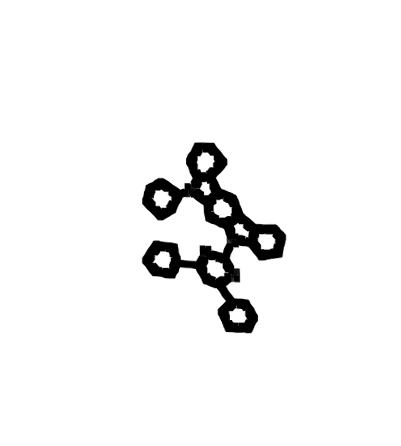 c1ccc(-c2cc(-c3ccccc3)nc(-n3c4ccccc4c4cc5c6ccccc6n(-c6ccccc6)c5cc43)n2)cc1